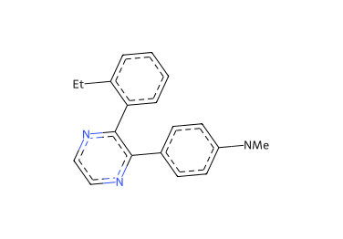 CCc1ccccc1-c1nccnc1-c1ccc(NC)cc1